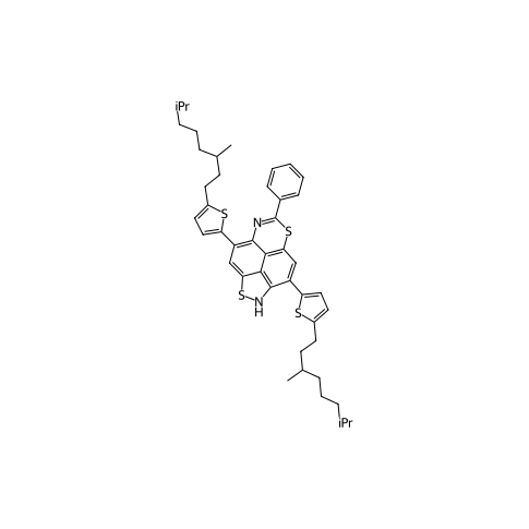 CC(C)CCCC(C)CCc1ccc(-c2cc3c4c(c(-c5ccc(CCC(C)CCCC(C)C)s5)cc5c4c2N=C(c2ccccc2)S5)NS3)s1